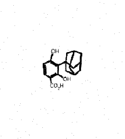 O=C(O)c1ccc(O)c(C23CC4CC(CC(C4)C2)C3)c1O